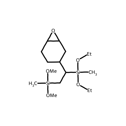 CCO[Si](C)(OCC)C(C[Si](C)(OC)OC)C1CCC2OC2C1